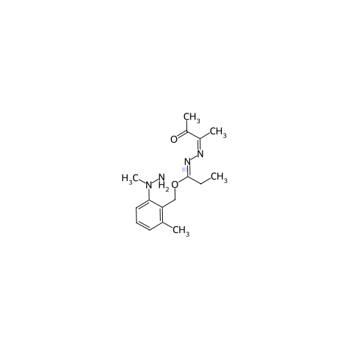 CC/C(=N\N=C(C)C(C)=O)OCc1c(C)cccc1N(C)N